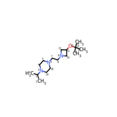 CC(C)N1CCN(CCN2CC(OC(C)(C)C)C2)CC1